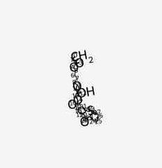 C=CC(=O)OCCCCOCC(O)COC(=O)c1ccc2c(=O)c3ccccc3sc2c1